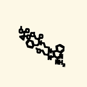 COCCc1nc2c(N)nc3ccccc3c2n1CCCN(Cc1cccc(OC2(C(=O)OC)CC2)c1)C(=O)CCl